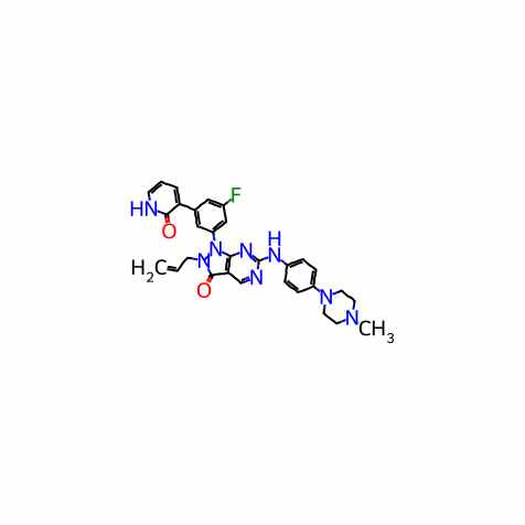 C=CCn1c(=O)c2cnc(Nc3ccc(N4CCN(C)CC4)cc3)nc2n1-c1cc(F)cc(-c2ccc[nH]c2=O)c1